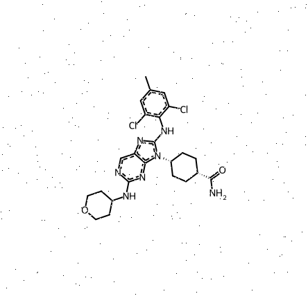 Cc1cc(Cl)c(Nc2nc3cnc(NC4CCOCC4)nc3n2[C@H]2CC[C@@H](C(N)=O)CC2)c(Cl)c1